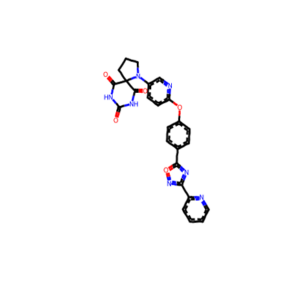 O=C1NC(=O)C2(CCCN2c2ccc(Oc3ccc(-c4nc(-c5ccccn5)no4)cc3)nc2)C(=O)N1